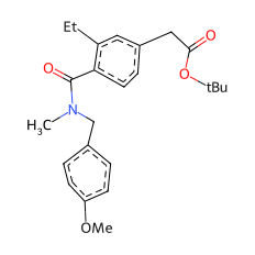 CCc1cc(CC(=O)OC(C)(C)C)ccc1C(=O)N(C)Cc1ccc(OC)cc1